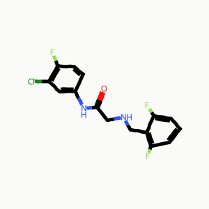 O=C(CNCc1c(F)cccc1F)Nc1ccc(F)c(Cl)c1